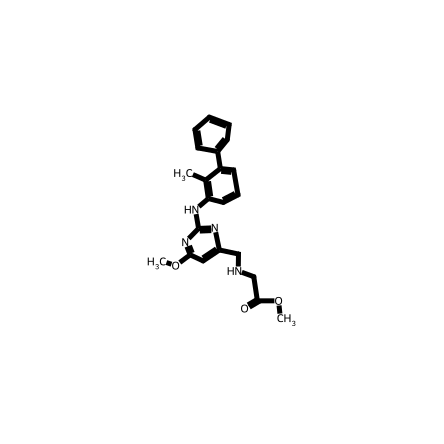 COC(=O)CNCc1cc(OC)nc(Nc2cccc(-c3ccccc3)c2C)n1